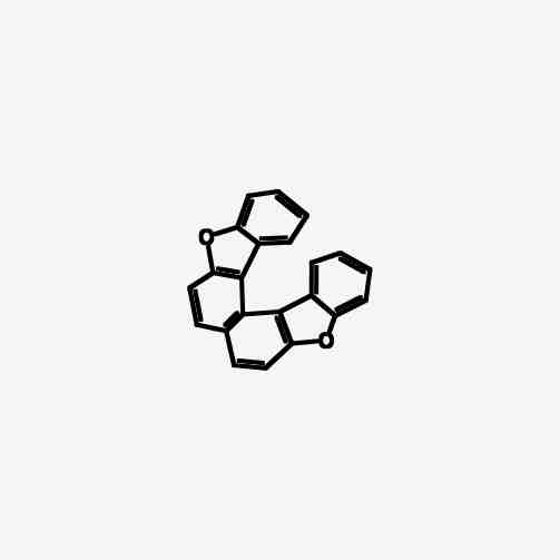 c1ccc2c(c1)oc1ccc3ccc4oc5ccccc5c4c3c12